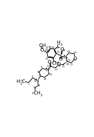 CCCN(CCC)C1CCN(C(=O)COC[C@@H]2COCCN2S(=O)(=O)c2c(C)cc(OC)cc2C)CC1